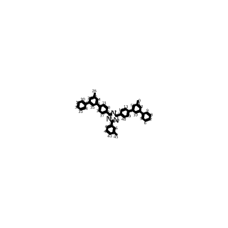 Cc1cc(-c2ccccc2)cc(-c2ccc(-c3nc(-c4ccc(-c5cc(C)cc(-c6ccccc6)c5)cc4)nc(-c4cccc(C)c4)n3)cc2)c1